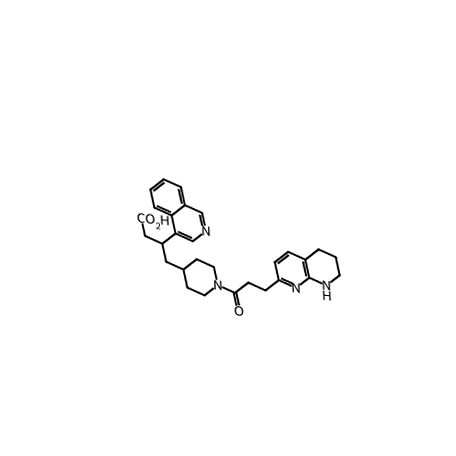 O=C(O)CC(CC1CCN(C(=O)CCc2ccc3c(n2)NCCC3)CC1)c1cncc2ccccc12